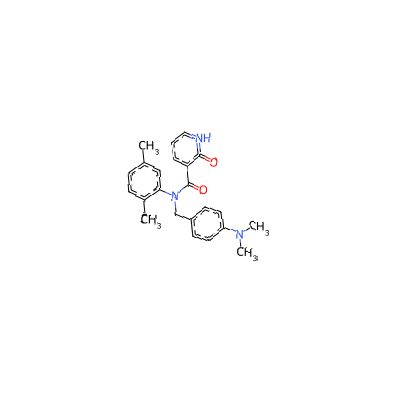 Cc1ccc(C)c(N(Cc2ccc(N(C)C)cc2)C(=O)c2ccc[nH]c2=O)c1